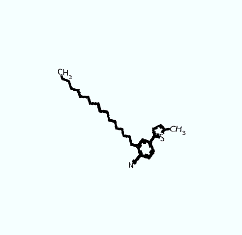 CCCCCCCCCCCCCCCCCCc1cc(-c2ccc(C)s2)ccc1C#N